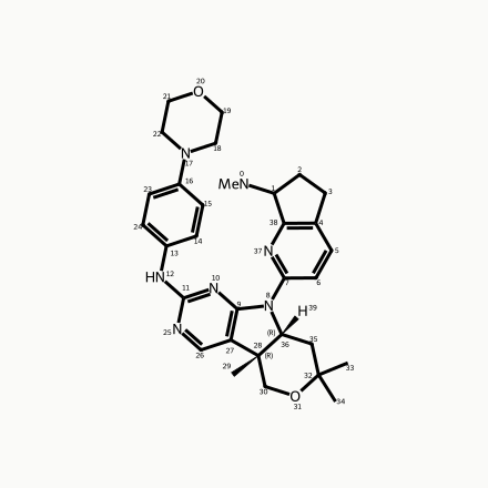 CNC1CCc2ccc(N3c4nc(Nc5ccc(N6CCOCC6)cc5)ncc4[C@@]4(C)COC(C)(C)C[C@@H]34)nc21